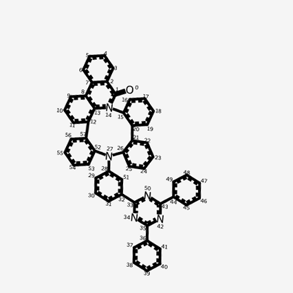 O=c1c2ccccc2c2cccc3c2n1-c1ccccc1-c1ccccc1N(c1cccc(-c2nc(-c4ccccc4)nc(-c4ccccc4)n2)c1)c1ccccc1-3